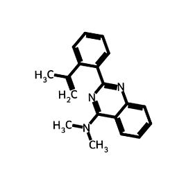 C=C(C)c1ccccc1-c1nc(N(C)C)c2ccccc2n1